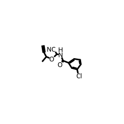 C#CC(C)OC(C#N)NC(=O)c1cccc(Cl)c1